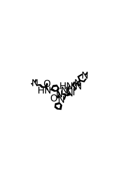 CN(C)C/C=C/C(=O)Nc1cccc(N2C(=O)N(c3ccccc3)Cc3cnc(Nc4cn(C5CCN(C)CC5)nc4Cl)nc32)c1